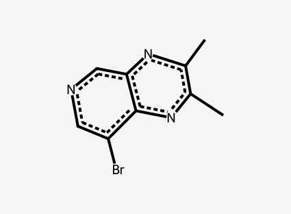 Cc1nc2cncc(Br)c2nc1C